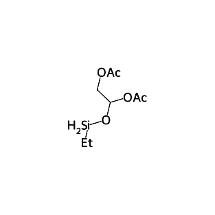 CC[SiH2]OC(COC(C)=O)OC(C)=O